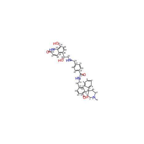 CN1CCC(c2ccccc2)(c2cc(CCNC(=O)c3ccc(CNC[C@H](O)c4ccc(O)c5[nH]c(=O)ccc45)cc3)ccc2O)CC1